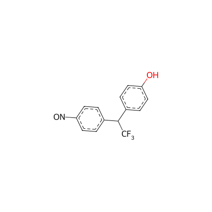 O=Nc1ccc(C(c2ccc(O)cc2)C(F)(F)F)cc1